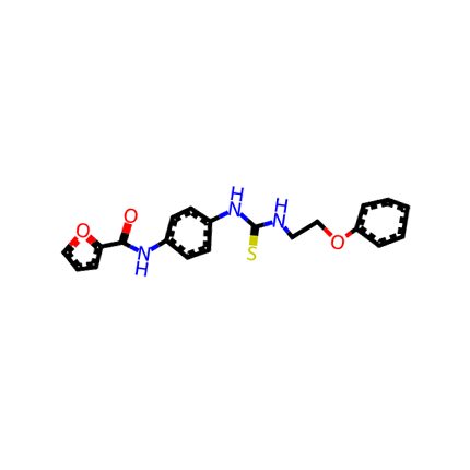 O=C(Nc1ccc(NC(=S)NCCOc2ccccc2)cc1)c1ccco1